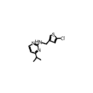 CC(C)c1ccnc(NCc2csc(Cl)c2)n1